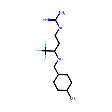 CC1CCC(CNC(CCNC(=N)N)C(F)(F)F)CC1